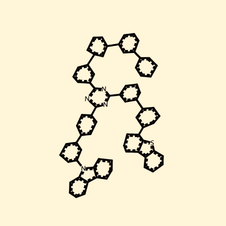 c1ccc(-c2cccc(-c3cccc(-c4cccc(-c5nc(-c6ccc(-c7cccc(-n8c9ccccc9c9ccccc98)c7)cc6)nc(-c6cccc(-c7cccc(-c8cccc9c8sc8ccccc89)c7)c6)n5)c4)c3)c2)cc1